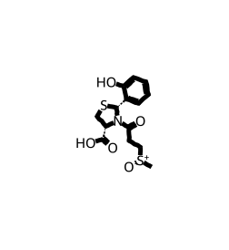 C[S+]([O-])CCC(=O)N1[C@@H](c2ccccc2O)SC[C@H]1C(=O)O